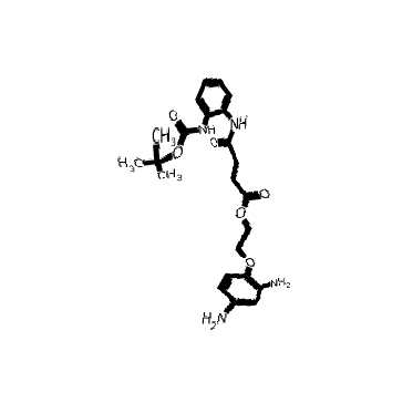 CC(C)(C)OC(=O)Nc1ccccc1NC(=O)CCC(=O)OCCOc1ccc(N)cc1N